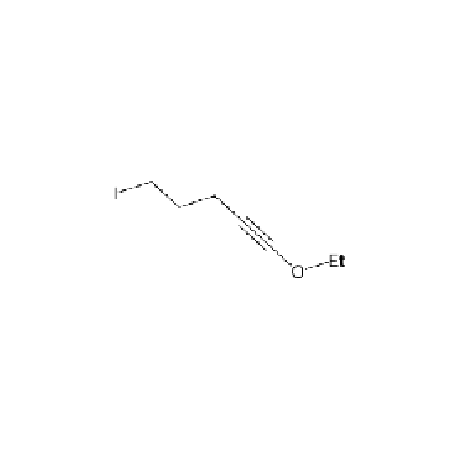 CCOC#CCCCI